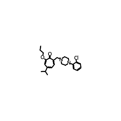 CCCOc1cc(C(C)C)ccc(CN2CCN(c3ccccc3Cl)CC2)c1=O